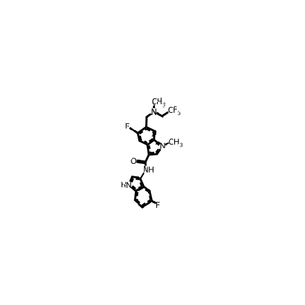 CN(Cc1cc2c(cc1F)c(C(=O)Nc1c[nH]c3ccc(F)cc13)cn2C)CC(F)(F)F